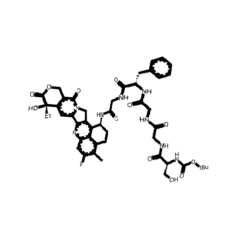 CC[C@@]1(O)C(=O)OCc2c1cc1n(c2=O)Cc2c-1nc1cc(F)c(C)c3c1c2[C@@H](NC(=O)CNC(=O)[C@H](Cc1ccccc1)NC(=O)CNC(=O)CNC(=O)[C@H](CO)NC(=O)OC(C)(C)C)CC3